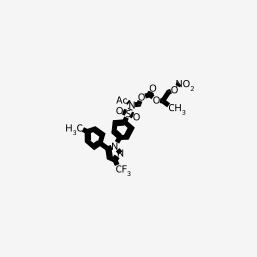 CC(=O)N(COC(=O)OC(C)CO[N+](=O)[O-])S(=O)(=O)c1ccc(-n2nc(C(F)(F)F)cc2-c2ccc(C)cc2)cc1